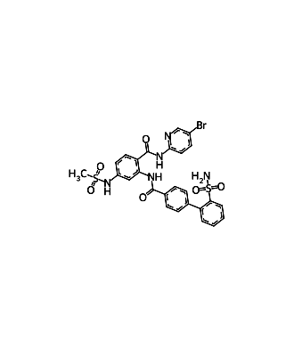 CS(=O)(=O)Nc1ccc(C(=O)Nc2ccc(Br)cn2)c(NC(=O)c2ccc(-c3ccccc3S(N)(=O)=O)cc2)c1